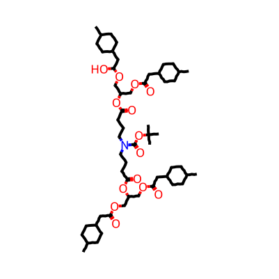 CC1CCC(CC(=O)OCC(COC(=O)CC2CCC(C)CC2)OC(=O)CCCN(CCCC(=O)OC(COC(=O)CC2CCC(C)CC2)COC(O)CC2CCC(C)CC2)C(=O)OC(C)(C)C)CC1